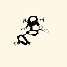 CCc1ccc(-c2ccc(Cl)cc2F)cc1C1=C(O)[C@H]2C=C[C@H](CC2)C1=O